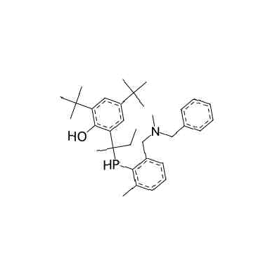 CCC(C)(Pc1c(C)cccc1CN(C)Cc1ccccc1)c1cc(C(C)(C)C)cc(C(C)(C)C)c1O